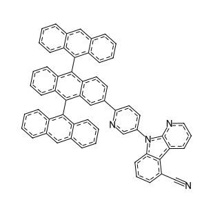 N#Cc1cccc2c1c1cccnc1n2-c1ccc(-c2ccc3c(-c4c5ccccc5cc5ccccc45)c4ccccc4c(-c4c5ccccc5cc5ccccc45)c3c2)nc1